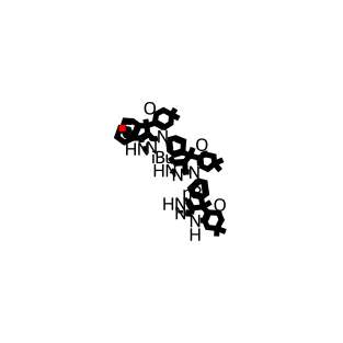 CCCc1[nH]nc2c1C(C)(c1ccc(N3C4=C(C(=O)CC(C)(C)C4)C(C)(c4ccc(N5C6=C(C(=O)CC(C)(C)C6)C(C)(c6ccccc6)c6c5n[nH]c6C5CCCC5)cc4)c4c3n[nH]c4C(C)CC)cc1)C1=C(CC(C)(C)CC1=O)N2